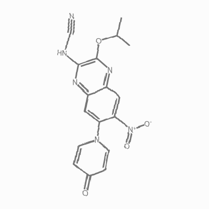 CC(C)Oc1nc2cc([N+](=O)[O-])c(-n3ccc(=O)cc3)cc2nc1NC#N